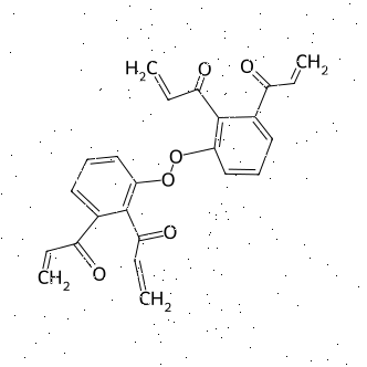 C=CC(=O)c1cccc(OOc2cccc(C(=O)C=C)c2C(=O)C=C)c1C(=O)C=C